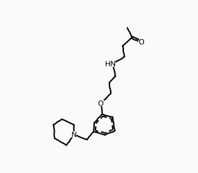 CC(=O)CCNCCCOc1cccc(CN2CCCCC2)c1